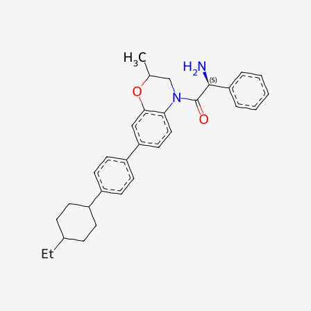 CCC1CCC(c2ccc(-c3ccc4c(c3)OC(C)CN4C(=O)[C@@H](N)c3ccccc3)cc2)CC1